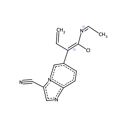 C=C/C(=C(Cl)\N=C/C)c1ccc2ncc(C#N)n2c1